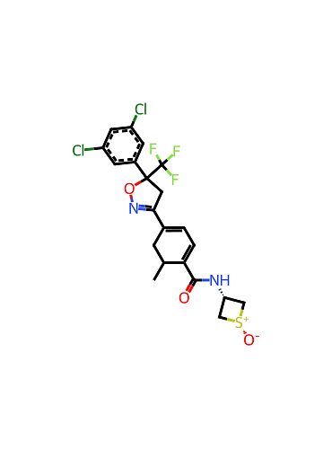 CC1CC(C2=NOC(c3cc(Cl)cc(Cl)c3)(C(F)(F)F)C2)=CC=C1C(=O)N[C@H]1C[S@@+]([O-])C1